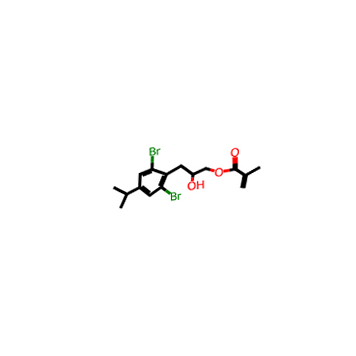 C=C(C)C(=O)OCC(O)Cc1c(Br)cc(C(C)C)cc1Br